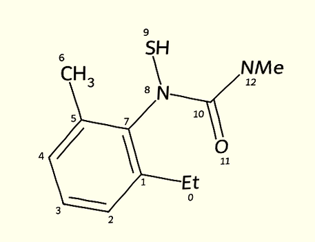 CCc1cccc(C)c1N(S)C(=O)NC